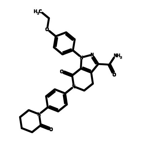 CCOc1ccc(-n2nc(C(N)=O)c3c2C(=O)N(c2ccc(N4CCCCC4=O)cc2)CC3)cc1